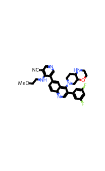 COCCNc1c(C#N)cncc1-c1ccc2ncc(-c3cc(F)cc(F)c3)c(N3CCC4NCCOC4C3)c2c1